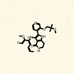 C\C=C/C=C(Nc1c(-c2ccncc2OCC(C)(C)OC)[nH]c2c1C(=O)NCC2)\C(=C\F)OC